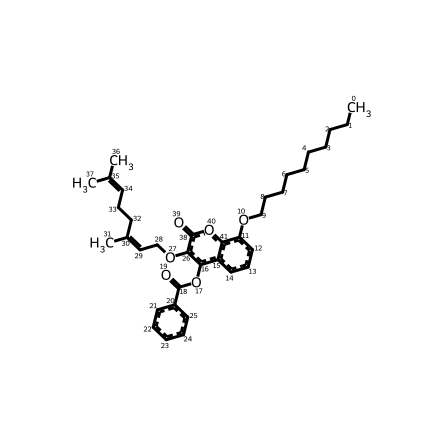 CCCCCCCCCCOc1cccc2c(OC(=O)c3ccccc3)c(OCC=C(C)CCC=C(C)C)c(=O)oc12